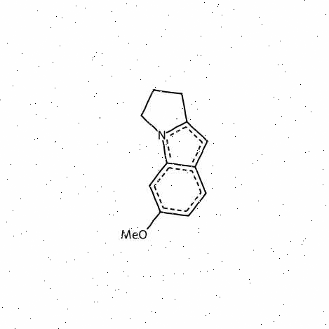 COc1ccc2cc3n(c2c1)CCC3